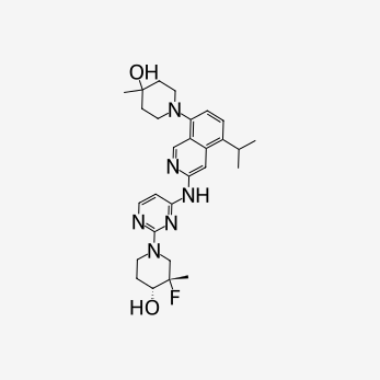 CC(C)c1ccc(N2CCC(C)(O)CC2)c2cnc(Nc3ccnc(N4CC[C@@H](O)[C@@](C)(F)C4)n3)cc12